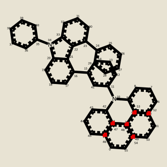 c1ccc(-c2ccccc2N(c2cccc(-c3cccc4c3c3c(-c5ccccc5)cccc3n4-c3ccccc3)c2)c2ccccc2-c2ccccc2)cc1